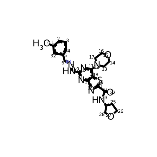 Cc1cccc(/C=N/Nc2nc(N3CCOCC3)c3sc(C(=O)NC4CCOC4)nc3n2)c1